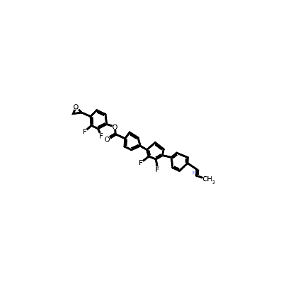 C/C=C/c1ccc(-c2ccc(-c3ccc(C(=O)Oc4ccc(C5CO5)c(F)c4F)cc3)c(F)c2F)cc1